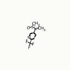 C[C@@H](c1ccc(C(F)(F)F)nc1)[S+](C)[O-]